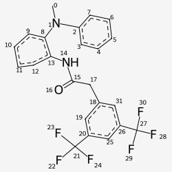 CN(c1ccccc1)c1ccccc1NC(=O)Cc1cc(C(F)(F)F)cc(C(F)(F)F)c1